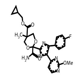 COc1nccc(-c2[nH]c(C3(C(N)=O)OCC(C)(C(=O)OCC4CC4)CO3)nc2-c2ccc(F)cc2)n1